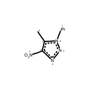 Cc1c([N+](=O)[O-])nnn1C(C)C